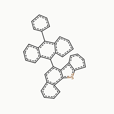 c1ccc(-c2c3ccccc3c(-c3cc4ccccc4c4sc5ccccc5c34)c3ccccc23)cc1